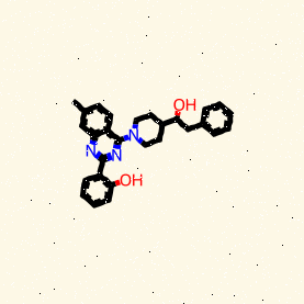 Cc1ccc2c(N3CCC(C(O)Cc4ccccc4)CC3)nc(-c3ccccc3O)nc2c1